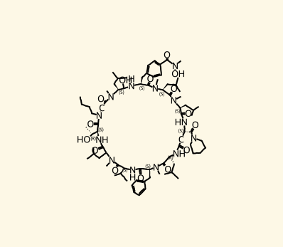 CCCCN1CC(=O)N(C)[C@@H](CC(C)C)C(O)N[C@@H](Cc2ccc(C(=O)N(C)O)cc2)C(=O)N(C)[C@@H](CC(C)C)C(=O)N(C)[C@@H](CC(C)C)C(=O)N[C@H](C(=O)N2CCCCC2)CC(=O)N[C@H](CC(C)C)C(=O)N(C)[C@@H](Cc2ccccc2)C(=O)N[C@@H](C(C)C)C(=O)N(C)C(CC(C)C)C(=O)N[C@@H]([C@@H](C)O)C1=O